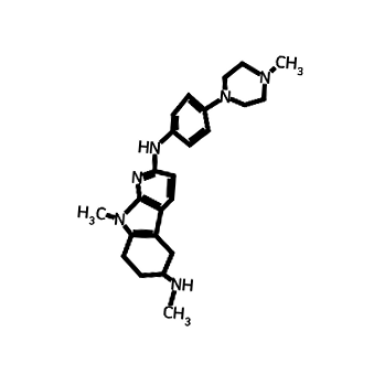 CNC1CCc2c(c3ccc(Nc4ccc(N5CCN(C)CC5)cc4)nc3n2C)C1